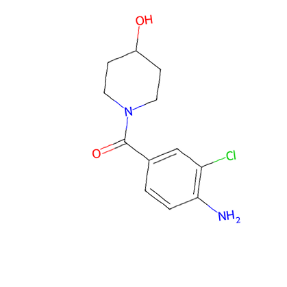 Nc1ccc(C(=O)N2CCC(O)CC2)cc1Cl